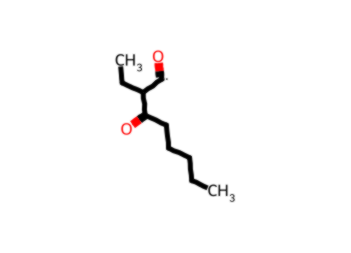 CCCCCC(=O)C([C]=O)CC